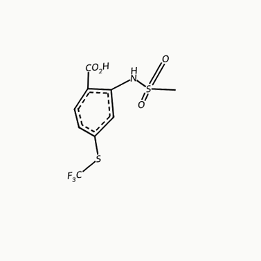 CS(=O)(=O)Nc1cc(SC(F)(F)F)ccc1C(=O)O